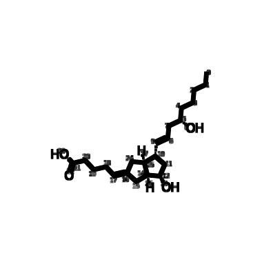 CCCCC[C@H](O)C/C=C/[C@@H]1C[C@@H](O)[C@H]2C/C(=C/CCCC(=O)O)C[C@H]21